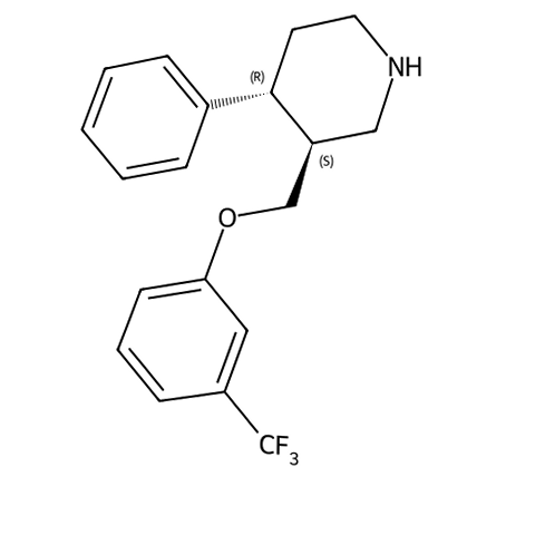 FC(F)(F)c1cccc(OC[C@@H]2CNCC[C@H]2c2ccccc2)c1